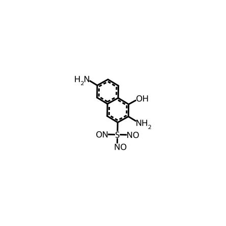 Nc1ccc2c(O)c(N)c(S(N=O)(N=O)N=O)cc2c1